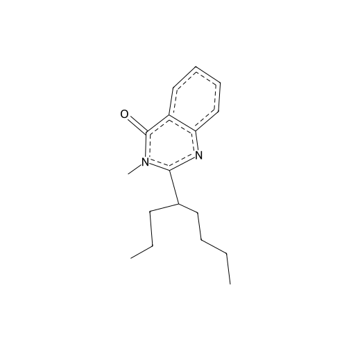 CCCCC(CCC)c1nc2ccccc2c(=O)n1C